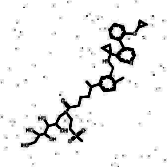 Cc1ccc(C(C)CCCC(=O)N(CCS(C)(=O)=O)CC(O)C(O)C(O)C(O)CO)cc1CNC1(c2cnccc2-c2ccccc2OC2CC2)CC1